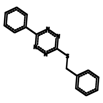 c1ccc(CSc2nnc(-c3ccccc3)nn2)cc1